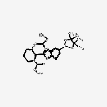 CC[C@@H]1CCCN(C(=O)OC(C)(C)C)C1c1nc2ccc(B3OC(C)(C)C(C)(C)O3)cc2n1C(=O)OC(C)(C)C